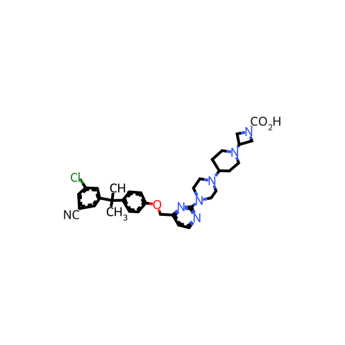 CC(C)(c1ccc(OCc2ccnc(N3CCN(C4CCN(C5CN(C(=O)O)C5)CC4)CC3)n2)cc1)c1cc(Cl)cc(C#N)c1